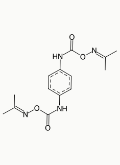 CC(C)=NOC(=O)Nc1ccc(NC(=O)ON=C(C)C)cc1